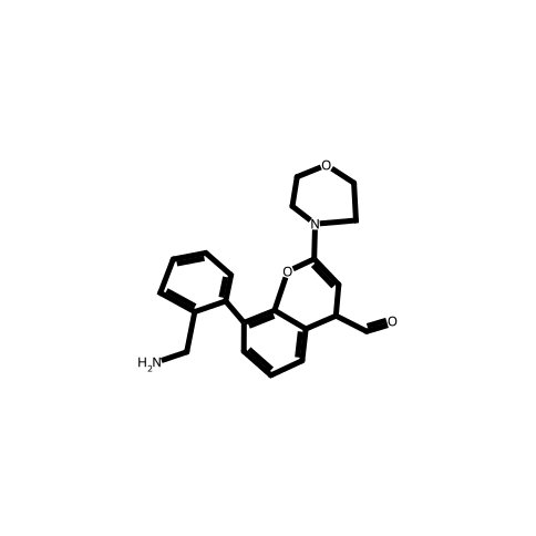 NCc1ccccc1-c1cccc2c1OC(N1CCOCC1)=CC2C=O